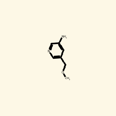 COCc1cncc(N)c1